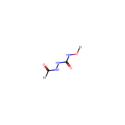 CCONC(=O)NNC(=O)CC